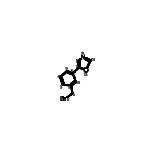 BrCc1cccc(-c2cnco2)c1